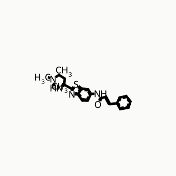 CC(CC(=N)c1nc2ccc(NC(=O)C=Cc3ccccc3)cc2s1)N(C)C